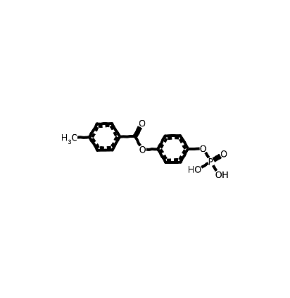 Cc1ccc(C(=O)Oc2ccc(OP(=O)(O)O)cc2)cc1